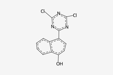 Oc1ccc(-c2nc(Cl)nc(Cl)n2)c2ccccc12